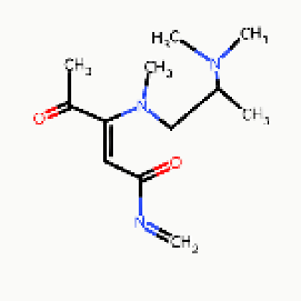 C=NC(=O)/C=C(/C(C)=O)N(C)CC(C)N(C)C